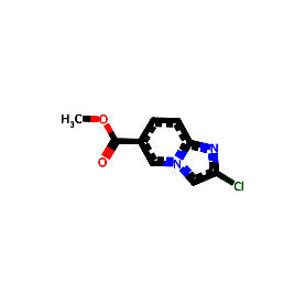 COC(=O)c1ccc2nc(Cl)cn2c1